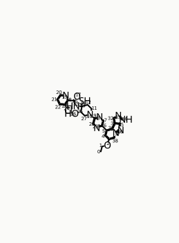 CCOc1cc(-c2cnc(N3CC[C@@](S)(NC(=O)c4ncccc4Cl)[C@@H](O)C3)cn2)c2c3cn[nH]c3nn2c1